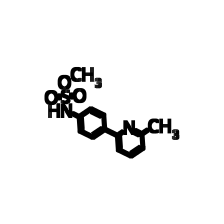 COS(=O)(=O)Nc1ccc(-c2cccc(C)n2)cc1